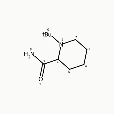 CC(C)(C)N1CCCCC1C(N)=O